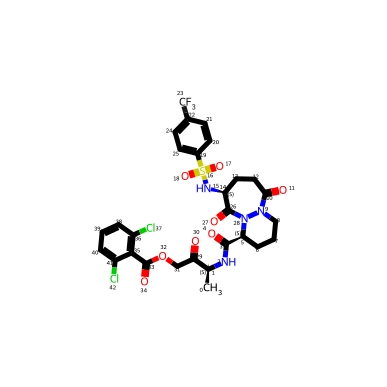 C[C@H](NC(=O)[C@@H]1CCCN2C(=O)CC[C@H](NS(=O)(=O)c3ccc(C(F)(F)F)cc3)C(=O)N12)C(=O)COC(=O)c1c(Cl)cccc1Cl